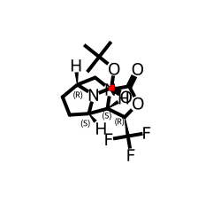 CC(C)(C)OC(=O)N1[C@@H]2CC[C@H]1[C@H]1[C@H](C(F)(F)F)OC(=O)N1C2